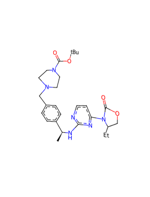 CCC1COC(=O)N1c1ccnc(N[C@@H](C)c2ccc(CN3CCN(C(=O)OC(C)(C)C)CC3)cc2)n1